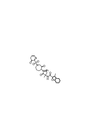 Cc1c(C(=O)NC(C)(CC(C)C)C(=O)NC2CCCN(S(=O)(=O)C3=NC=CCC3=O)CC2=O)oc2ccccc12